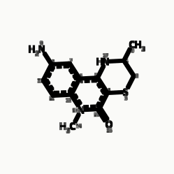 CC1CSc2c(c3cc(N)ccc3n(C)c2=O)N1